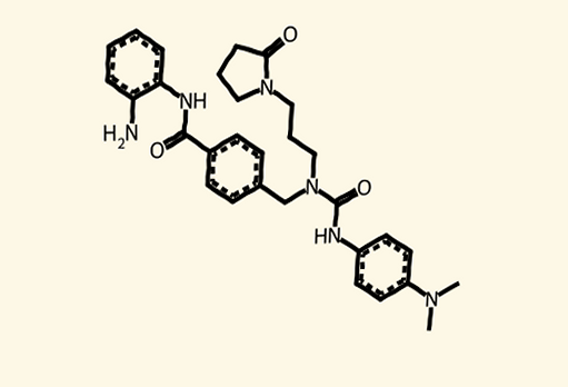 CN(C)c1ccc(NC(=O)N(CCCN2CCCC2=O)Cc2ccc(C(=O)Nc3ccccc3N)cc2)cc1